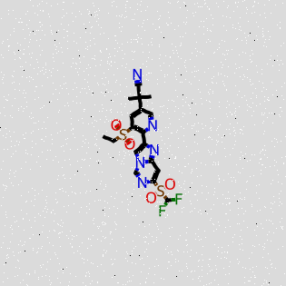 CCS(=O)(=O)c1cc(C(C)(C)C#N)cnc1-c1cn2cnc(S(=O)(=O)C(F)F)cc2n1